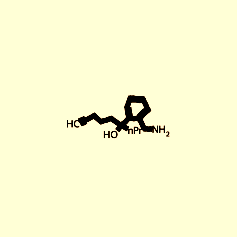 C#CCCCC(O)(CCC)c1ccccc1CN